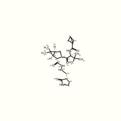 CC(C)(C)C(NC(=O)C12CC(C1)C2)C(=O)N1C[C@H]2[C@@H]([C@H]1C(=O)NNC[C@@H]1CCNC1=O)C2(C)C